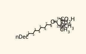 CCCCCCCCCCCCCCCCCCO[C@H](CC(=O)O)C[N+](C)(C)C